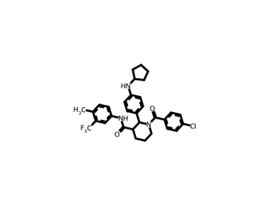 Cc1ccc(NC(=O)C2CCCN(C(=O)c3ccc(Cl)cc3)C2c2ccc(NC3CCCC3)cc2)cc1C(F)(F)F